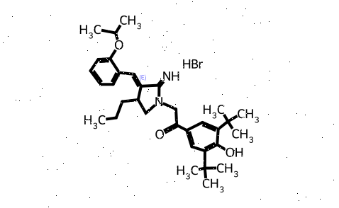 Br.CCCC1CN(CC(=O)c2cc(C(C)(C)C)c(O)c(C(C)(C)C)c2)C(=N)/C1=C/c1ccccc1OC(C)C